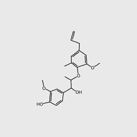 C=CCc1cc(C)c(OC(C)C(O)c2ccc(O)c(OC)c2)c(OC)c1